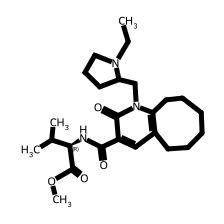 CCN1CCCC1Cn1c2c(cc(C(=O)N[C@@H](C(=O)OC)C(C)C)c1=O)CCCCCC2